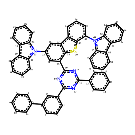 c1ccc(-c2cccc(-c3nc(-c4ccccc4)nc(-c4cc(-n5c6ccccc6c6ccccc65)cc5c4sc4c(-n6c7ccccc7c7ccccc76)cccc45)n3)c2)cc1